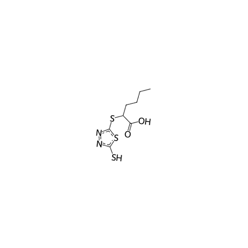 CCCCC(Sc1nnc(S)s1)C(=O)O